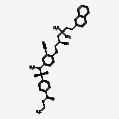 CCOC(=O)c1ccc(S(=O)(=O)N(C)c2ccc(OC[C@H](O)C[N+](C)(C)CCc3ccc4ccccc4c3)c(C#N)c2)cc1